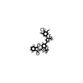 Cc1cc(C(/C=C/c2ccc(CN3C(=O)c4ccccc4C3=O)c(C(F)(F)F)c2)C(F)(F)F)cc(C)c1Cl